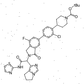 CC(C)(C)OC(=O)N1CCC(c2ccc(-c3cc(F)c4c(c3)C(=O)N(C(C(=O)Nc3nccs3)c3ncn5c3CCC5)C4)cc2Cl)CC1